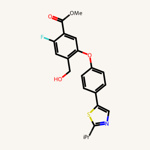 COC(=O)c1cc(Oc2ccc(-c3cnc(C(C)C)s3)cc2)c(CO)cc1F